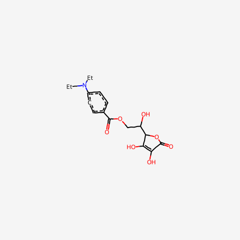 CCN(CC)c1ccc(C(=O)OCC(O)C2OC(=O)C(O)=C2O)cc1